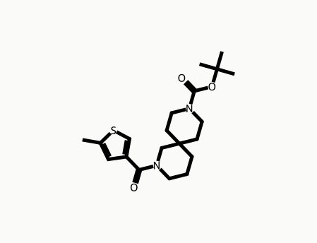 Cc1cc(C(=O)N2CCCC3(CCN(C(=O)OC(C)(C)C)CC3)C2)cs1